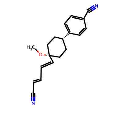 CO[C@]1(C=CC=CC#N)CC[C@H](c2ccc(C#N)cc2)CC1